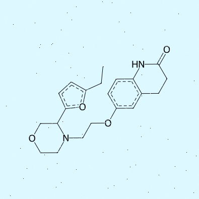 CCc1ccc(C2COCCN2CCOc2ccc3c(c2)CCC(=O)N3)o1